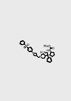 COC(=O)N[C@@H]1CCC[C@H]1C(CN)(c1ccccc1)C1CCN(CC2CN(c3ccc(S(=O)(=O)c4ccccc4)cc3)C2)CC1